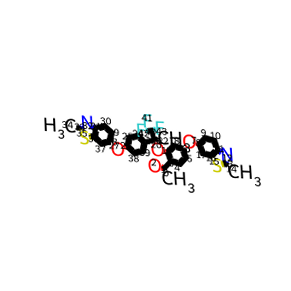 CC(=O)c1ccc(Oc2ccc3nc(C)sc3c2)cc1OC(C)(c1ccc(Oc2ccc3nc(C)sc3c2)cc1)C(F)(F)F